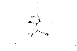 CC(C#N)c1nnn[nH]1